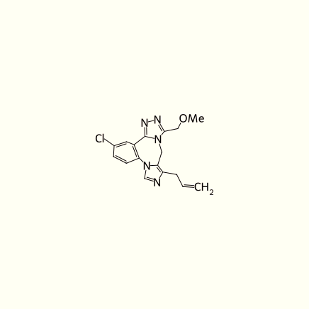 C=CCc1ncn2c1Cn1c(COC)nnc1-c1cc(Cl)ccc1-2